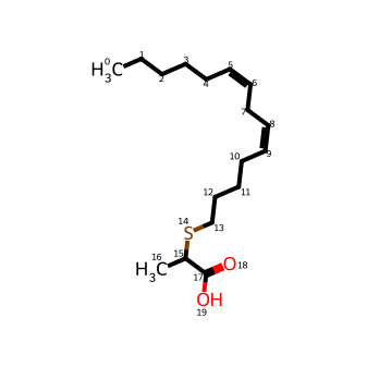 CCCCC/C=C\C/C=C\CCCCSC(C)C(=O)O